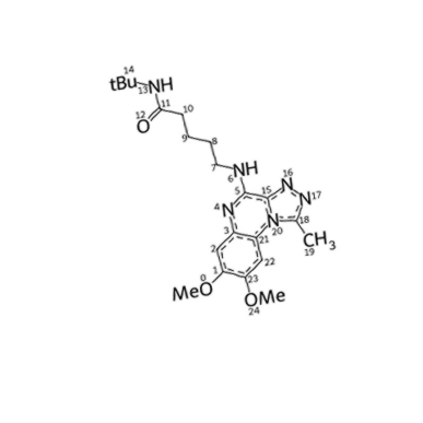 COc1cc2nc(NCCCCC(=O)NC(C)(C)C)c3nnc(C)n3c2cc1OC